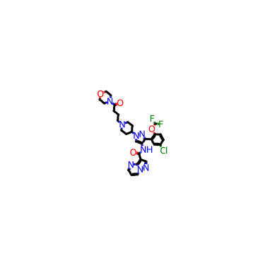 O=C(Nc1cn(C2CCN(CCCC(=O)N3CCOCC3)CC2)nc1-c1cc(Cl)ccc1OC(F)F)c1cnn2cccnc12